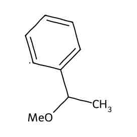 COC(C)c1[c]cccc1